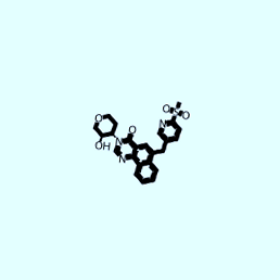 CS(=O)(=O)c1ccc(Cc2cc3c(=O)n([C@H]4CCOC[C@@H]4O)cnc3c3ccccc23)cn1